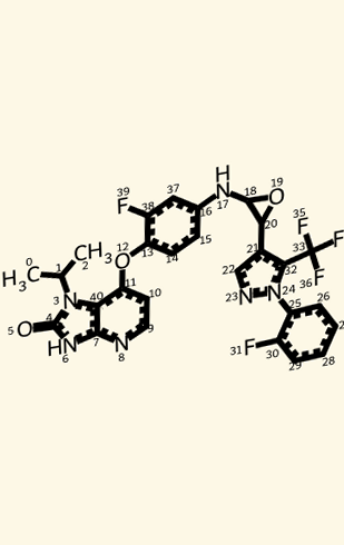 CC(C)n1c(=O)[nH]c2nccc(Oc3ccc(NC4OC4c4cnn(-c5ccccc5F)c4C(F)(F)F)cc3F)c21